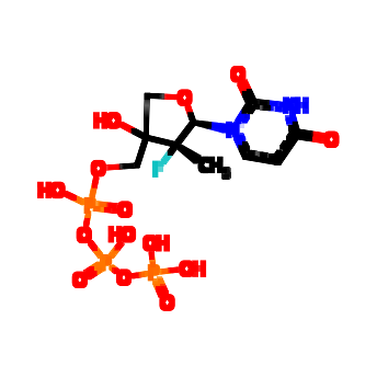 C[C@]1(F)[C@H](n2ccc(=O)[nH]c2=O)OCC1(O)COP(=O)(O)OP(=O)(O)OP(=O)(O)O